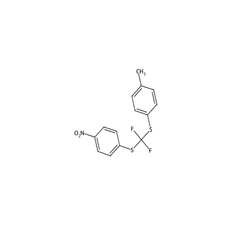 Cc1ccc(SC(F)(F)Sc2ccc([N+](=O)[O-])cc2)cc1